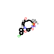 C[C@@H]1[C@@H](C)C/C=C/C(C=O)[C@@H]2CC[C@H]2CN2C[C@@]3(CCCc4cc(Cl)ccc43)COc3ccc(cc32)C(=O)NS1(=O)=O